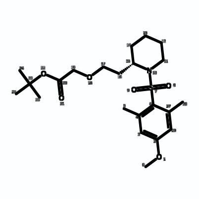 COc1cc(C)c(S(=O)(=O)N2CCCC[C@H]2CCOCC(=O)OC(C)(C)C)c(C)c1